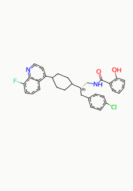 O=C(NC[C@H](Cc1ccc(Cl)cc1)C1CCC(c2ccnc3c(F)cccc23)CC1)c1ccccc1O